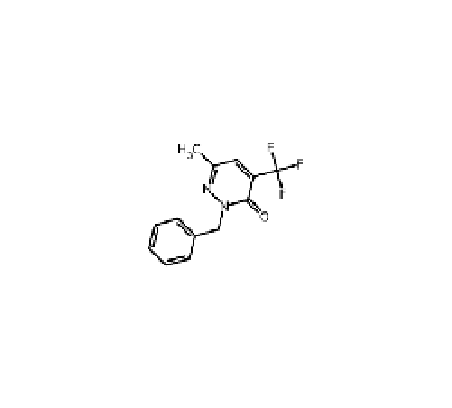 Cc1cc(C(F)(F)F)c(=O)n(Cc2ccccc2)n1